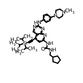 CC(C)[Si](C#Cc1cc(NC(=O)NCC2CCCC2)nc2nc(Nc3ccc(N4CCN(C)CC4)cc3)ncc12)(C(C)C)C(C)C